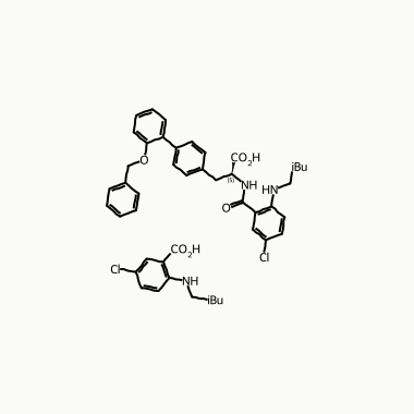 CCC(C)CNc1ccc(Cl)cc1C(=O)N[C@@H](Cc1ccc(-c2ccccc2OCc2ccccc2)cc1)C(=O)O.CCC(C)CNc1ccc(Cl)cc1C(=O)O